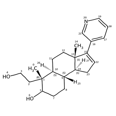 C[C@]1(CCO)C(O)CC[C@@H]2[C@@H]1CC[C@]1(C)C(c3cccnc3)=CC[C@@H]21